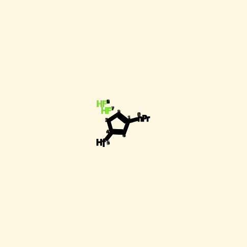 CCCC1=CC[C]([Hf])=C1.F.F